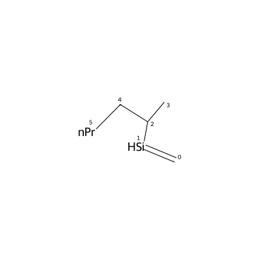 C=[SiH]C(C)CCCC